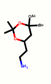 CC(=O)OC1(C(C)(C)C)CC(CCN)OC(C)(C)O1